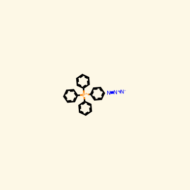 [N-]=[N+]=[N-].c1ccc([P+](c2ccccc2)(c2ccccc2)c2ccccc2)cc1